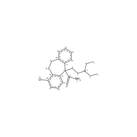 CCN(CC)CCC1(C(N)=O)c2ccccc2CSc2c(Cl)cccc21